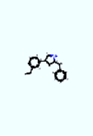 CCc1cccc(C2CNC(Cc3ccccc3)C2)c1